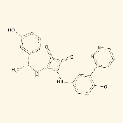 C[C@@H](Nc1c(Nc2ccc(O)c(-c3cccnn3)c2)c(=O)c1=O)c1cccc(O)c1